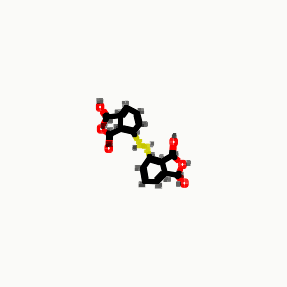 O=C1OC(=O)c2c(SSc3cccc4c3C(=O)OC4=O)cccc21